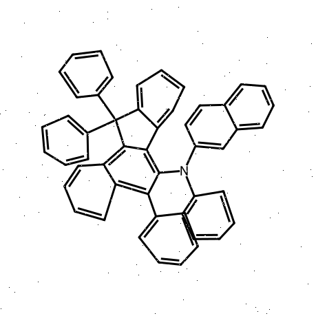 c1ccc(-c2c(N(c3ccccc3)c3ccc4ccccc4c3)c3c(c4ccccc24)C(c2ccccc2)(c2ccccc2)c2ccccc2-3)cc1